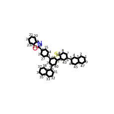 c1ccc2cc(-c3ccc4sc5c(-c6ccc(-c7nc8ccccc8o7)cc6)cc(-c6cccc7ccccc67)cc5c4c3)ccc2c1